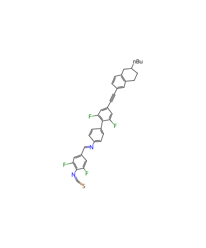 CCCCC1CCc2cc(C#Cc3cc(F)c(-c4ccc(/N=C/c5cc(F)c(N=C=S)c(F)c5)cc4)c(F)c3)ccc2C1